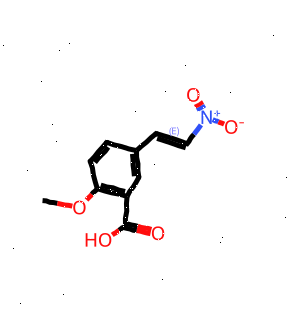 COc1ccc(/C=C/[N+](=O)[O-])cc1C(=O)O